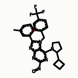 Cc1cccc(-c2nc3nc(N=O)nc(N4CCCC4C4CCC4)c3n2Cc2ccc(C(F)(F)F)cc2)c1